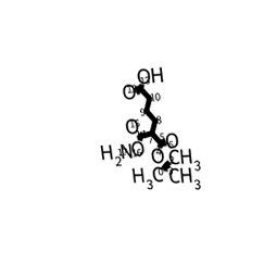 CC(C)(C)OC(=O)C(CCCC(=O)O)C(=O)ON